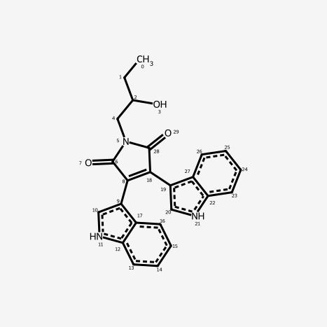 CCC(O)CN1C(=O)C(c2c[nH]c3ccccc23)=C(c2c[nH]c3ccccc23)C1=O